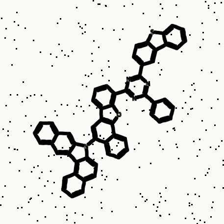 c1ccc(-c2nc(-c3ccc4sc5ccccc5c4c3)nc(-c3cccc4c3oc3c5ccccc5c(-n5c6cc7ccccc7cc6c6c7ccccc7ccc65)cc43)n2)cc1